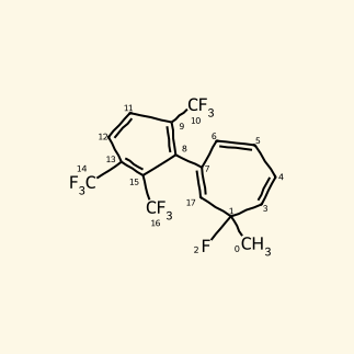 CC1(F)C=CC=CC(c2c(C(F)(F)F)ccc(C(F)(F)F)c2C(F)(F)F)=C1